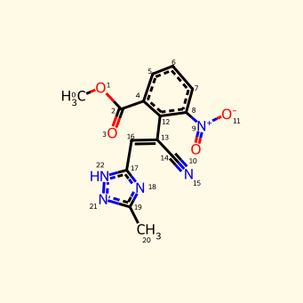 COC(=O)c1cccc([N+](=O)[O-])c1C(C#N)=Cc1nc(C)n[nH]1